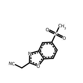 CS(=O)(=O)c1ccc2oc(CC#N)nc2c1